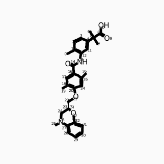 Cc1ccc(C(C)(C)C(=O)O)cc1NC(=O)c1cc(C)c(OC[C@@H]2CN(C)c3ccccc3O2)cc1C